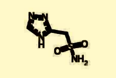 NS(=O)(=O)Cc1nnc[nH]1